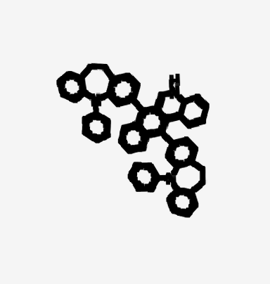 C1=CC2=c3c(-c4ccc5c(c4)N(c4ccccc4)c4ccccc4CC5)c4ccccc4c(-c4ccc5c(c4)N(c4ccccc4)c4ccccc4CC5)c3=CNC2C=C1